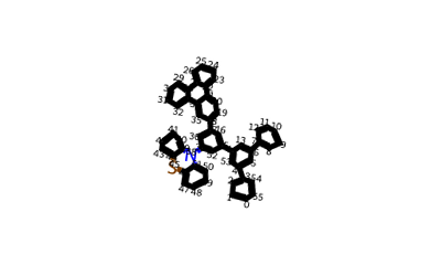 c1ccc(-c2cc(-c3ccccc3)cc(-c3cc(-c4ccc5c6ccccc6c6ccccc6c5c4)cc(N4c5ccccc5Sc5ccccc54)c3)c2)cc1